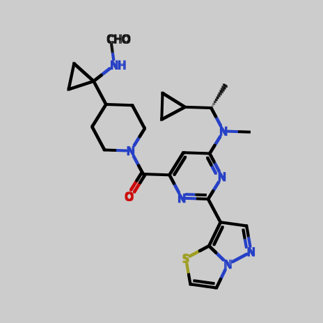 C[C@@H](C1CC1)N(C)c1cc(C(=O)N2CCC(C3(NC=O)CC3)CC2)nc(-c2cnn3ccsc23)n1